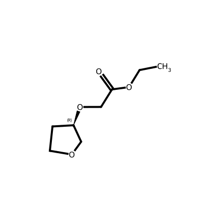 CCOC(=O)CO[C@@H]1CCOC1